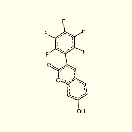 O=c1oc2cc(O)ccc2cc1-c1c(F)c(F)c(F)c(F)c1F